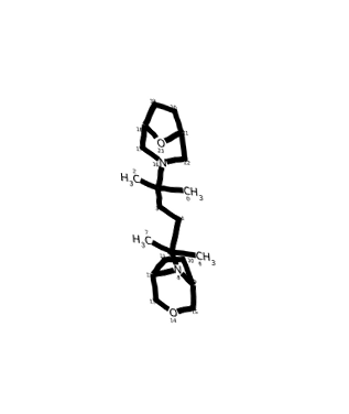 CC(C)(CCC(C)(C)N1C2CCC1COC2)N1CC2CCC(C1)O2